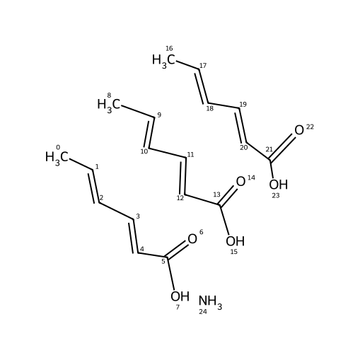 CC=CC=CC(=O)O.CC=CC=CC(=O)O.CC=CC=CC(=O)O.N